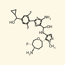 Cn1ncc(NC(O)c2nc(-c3c(F)cc(C(O)C4CC4)cc3F)sc2N)c1[C@@H]1CC[C@@H](N)[C@H](F)CO1